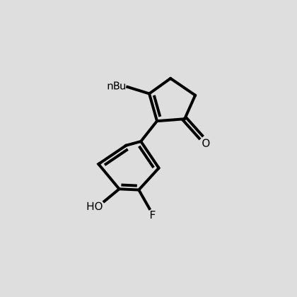 CCCCC1=C(c2ccc(O)c(F)c2)C(=O)CC1